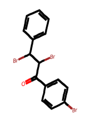 O=C(c1ccc(Br)cc1)C(Br)C(Br)c1ccccc1